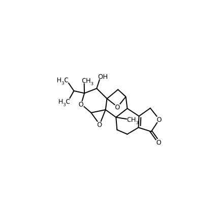 CC(C)C1(C)OC2OC23C2(C)CCC4=C(COC4=O)C2C2CC3(O2)C1O